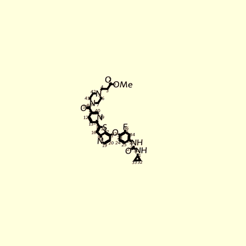 COC(=O)CCN1CCN(C(=O)c2ccc(-c3cc4nccc(Oc5ccc(NC(=O)NC6CC6)cc5F)c4s3)nc2)CC1